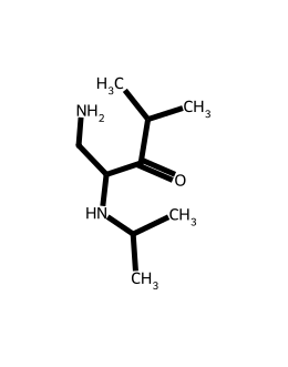 CC(C)NC(CN)C(=O)C(C)C